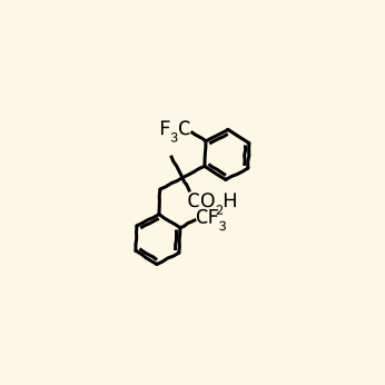 CC(Cc1ccccc1C(F)(F)F)(C(=O)O)c1ccccc1C(F)(F)F